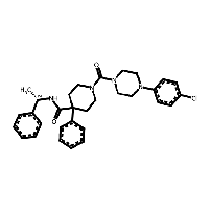 C[C@H](NC(=O)C1(c2ccccc2)CCN(C(=O)N2CCN(c3ccc(Cl)cc3)CC2)CC1)c1ccccc1